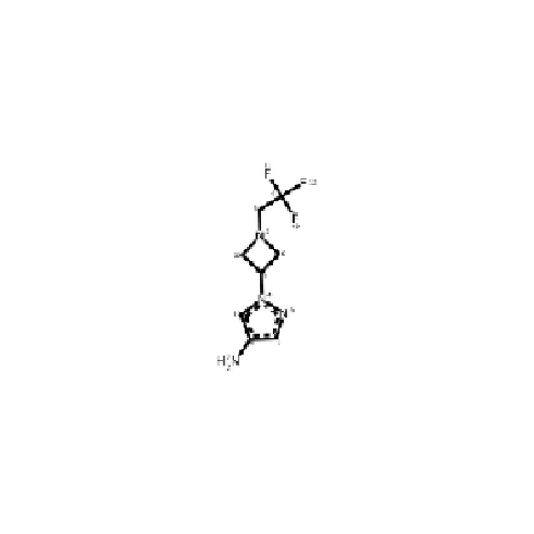 Nc1cnn(C2CN(CC(F)(F)F)C2)c1